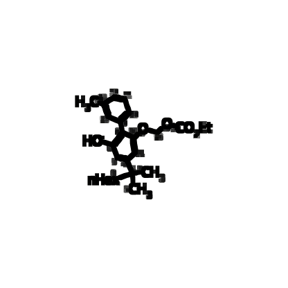 CCCCCCC(C)(C)c1cc(O)c(-c2cccc(C)c2)c(OCOC(=O)OCC)c1